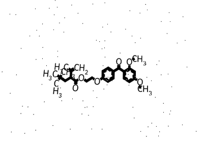 C=C(C)C(CC(C)(C)C)C(=O)OCCOc1ccc(C(=O)c2ccc(OC)cc2OC)cc1